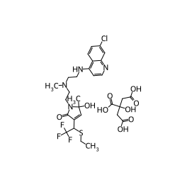 CCSC(C1=CC(C)(O)N(CCN(C)CCNc2ccnc3cc(Cl)ccc23)C1=O)C(F)(F)F.O=C(O)CC(O)(CC(=O)O)C(=O)O